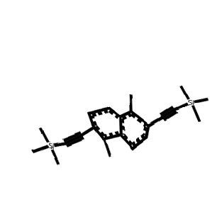 Cc1c(C#C[Si](C)(C)C)ccc2c(C)c(C#C[Si](C)(C)C)ccc12